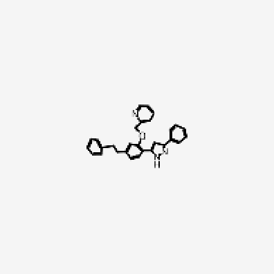 c1ccc(CCc2ccc(-c3cc(-c4ccccc4)n[nH]3)c(OCc3ccccn3)c2)cc1